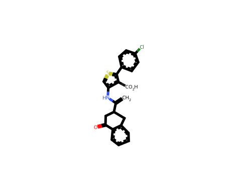 C=C(Nc1csc(-c2ccc(Cl)cc2)c1C(=O)O)C1CC(=O)c2ccccc2C1